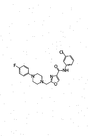 O=C(Nc1cccc(Cl)c1)c1coc(CN2CCN(c3ccc(F)cc3)CC2)n1